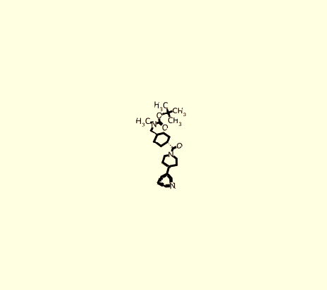 CN(C[C@H]1CC[C@H](C(=O)N2CCC(c3cccnc3)CC2)CC1)C(=O)OC(C)(C)C